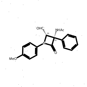 COc1ccc(N2C(=O)[C@](NC(C)=O)(c3ccccc3)[C@H]2C=O)cc1